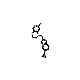 Brc1cc2c(cn1)OCCN2Cc1cn2cc(C3CC3)ccc2n1